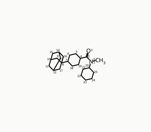 CN(C(=O)C1CCC(C23CC4CC(CC(C4)C2)C3)CC1)C1CCCCC1